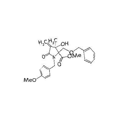 C=C1C(=O)N(Cc2ccc(OC)cc2)C(COCc2ccccc2)(C(=O)OC)[C@]1(C)O